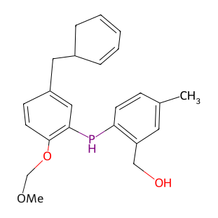 COCOc1ccc(CC2C=CC=CC2)cc1Pc1ccc(C)cc1CO